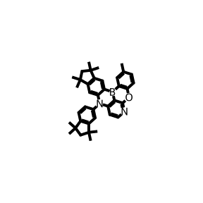 Cc1ccc2c(c1)B1c3cc4c(cc3N(c3ccc5c(c3)C(C)(C)CC5(C)C)c3ccnc(c31)O2)C(C)(C)CC4(C)C